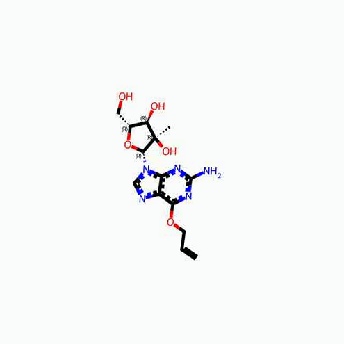 C=CCOc1nc(N)nc2c1ncn2[C@@H]1O[C@H](CO)[C@@H](O)[C@@]1(C)O